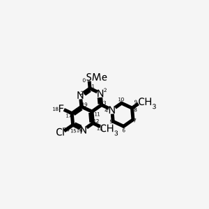 CSc1nc(N2CCCC(C)C2)c2c(C)nc(Cl)c(F)c2n1